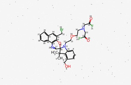 CC1(C)c2c(CO)cccc2N(CCOCCN(CC(=O)F)CC(=O)F)C12C=Nc1c(c(CBr)cc3ccccc13)O2